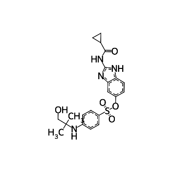 CC(C)(CO)Nc1ccc(S(=O)(=O)Oc2ccc3[nH]c(NC(=O)C4CC4)nc3c2)cc1